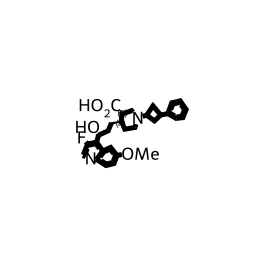 COc1ccc2ncc(F)c(C(O)CC[C@@H]3CCN(C4CC(c5ccccc5)C4)C[C@@H]3C(=O)O)c2c1